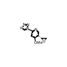 COc1cc(-n2cnnn2)ncc1[C@@H]1CO1